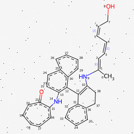 C\C(=C/C=C\C=C/CO)NC1=C(c2c(Nc3cccccc3=O)ccc3ccccc23)c2ccccc2CC1